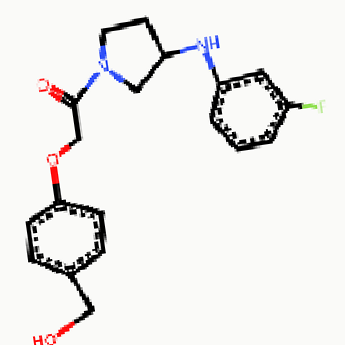 O=C(COc1ccc(CO)cc1)N1CCC(Nc2cccc(F)c2)C1